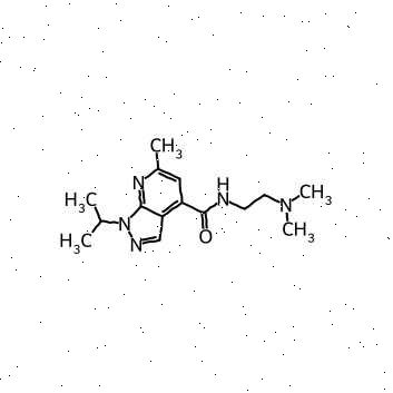 Cc1cc(C(=O)NCCN(C)C)c2cnn(C(C)C)c2n1